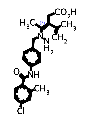 C=C(C)/C(CC(=O)O)=C(/C)N(N)Cc1ccc(NC(=O)c2ccc(Cl)cc2C)cc1